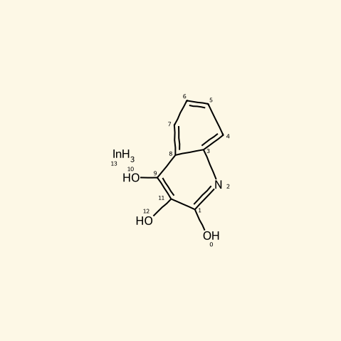 Oc1nc2ccccc2c(O)c1O.[InH3]